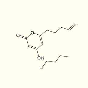 C=CCCCc1cc(O)cc(=O)o1.[Li][CH2]CCC